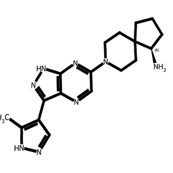 Cc1[nH]ncc1-c1n[nH]c2nc(N3CCC4(CCC[C@H]4N)CC3)cnc12